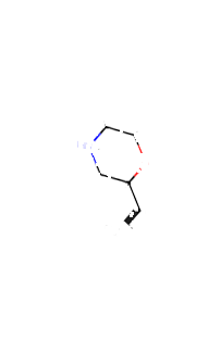 C=CC1CNCCO1